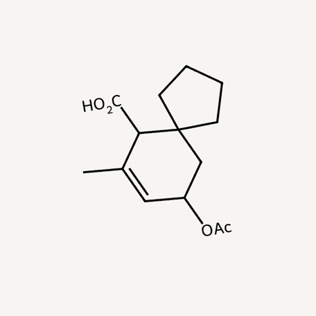 CC(=O)OC1C=C(C)C(C(=O)O)C2(CCCC2)C1